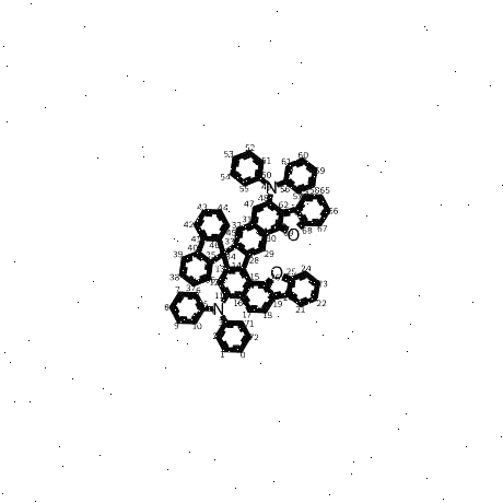 c1ccc(N(c2ccccc2)c2cc3c(c4c2ccc2c5ccccc5oc24)-c2cc4c(cc2C32c3ccccc3-c3ccccc32)cc(N(c2ccccc2)c2ccccc2)c2c3ccccc3oc42)cc1